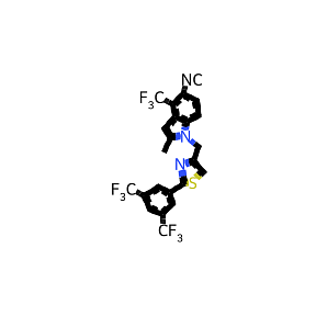 [C-]#[N+]c1ccc2c(cc(C)n2Cc2csc(-c3cc(C(F)(F)F)cc(C(F)(F)F)c3)n2)c1C(F)(F)F